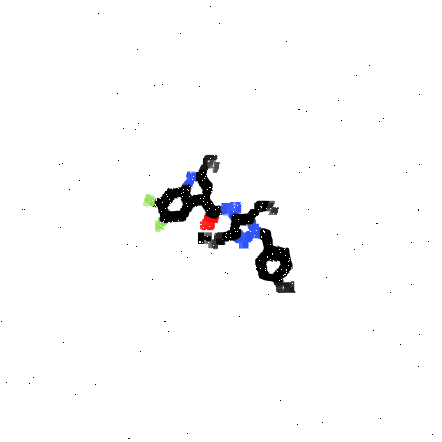 Cc1nn(Cc2ccc(C#N)cc2)c(C)c1NC(=O)c1cc(C(F)(F)F)nc2cc(F)c(F)cc12